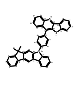 CC1(C)c2ccccc2-c2cc3c4ccccc4n(-c4ccc(-c5c6ccccc6nc6c5sc5ccccc56)cc4)c3cc21